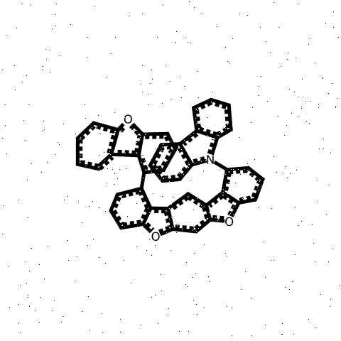 c1ccc2c(c1)oc1cccc(-c3cccc4oc5cc6oc7cccc(-n8c9ccccc9c9ccccc98)c7c6cc5c34)c12